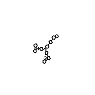 c1ccc2cc(-c3ccc(-c4ccc(N(c5ccc(-c6cccc7c6oc6ccccc67)cc5)c5ccc(-n6c7ccccc7c7ccccc76)cc5)cc4)cc3)ccc2c1